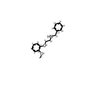 COc1ccccc1OCCNCc1ccccc1